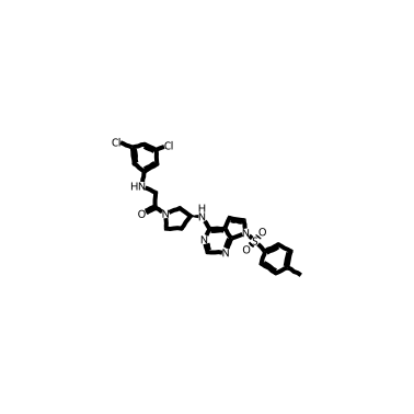 Cc1ccc(S(=O)(=O)n2ccc3c(N[C@H]4CCN(C(=O)CNc5cc(Cl)cc(Cl)c5)C4)ncnc32)cc1